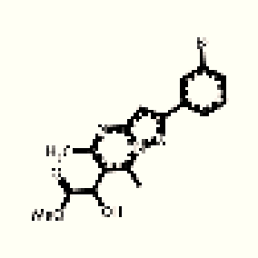 COC(=O)C(O)c1c(C)nc2cc(-c3cccc(Br)c3)nn2c1I